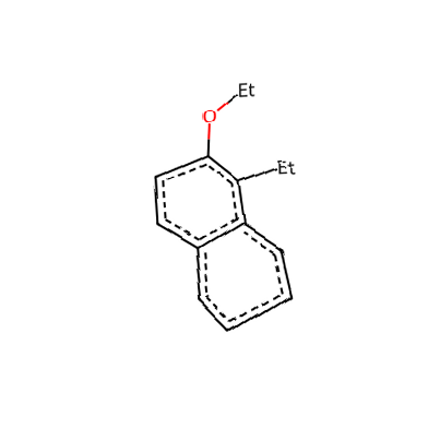 CCOc1ccc2ccccc2c1CC